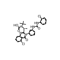 C[C@@H](c1nc2cccc(Cl)c2c(=O)n1-c1cccc(NC(=O)Nc2ccccc2Cl)c1)N(C(=O)O)C(C)(C)C